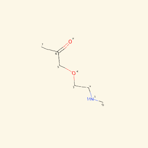 CNCCOCC(C)=O